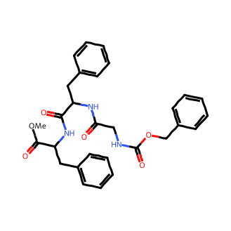 COC(=O)C(Cc1ccccc1)NC(=O)C(Cc1ccccc1)NC(=O)CNC(=O)OCc1ccccc1